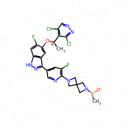 C[C@@H](Oc1cc2c(-c3cnc(N4CC5(C4)CN([S+](C)[O-])C5)c(F)c3)n[nH]c2cc1F)c1c(Cl)cnnc1Cl